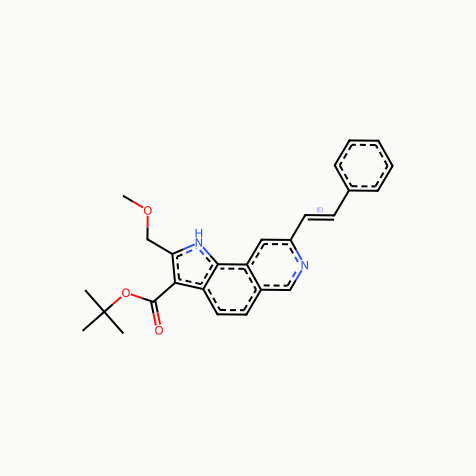 COCc1[nH]c2c(ccc3cnc(/C=C/c4ccccc4)cc32)c1C(=O)OC(C)(C)C